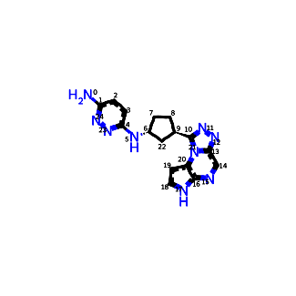 Nc1ccc(N[C@@H]2CC[C@@H](c3nnc4cnc5[nH]ccc5n34)C2)nn1